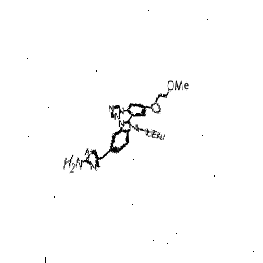 COCCOc1ccc(-n2cncn2)c(-c2nc3cc(-c4cnc(N)nc4)ccc3n2C(C)(C)C)c1